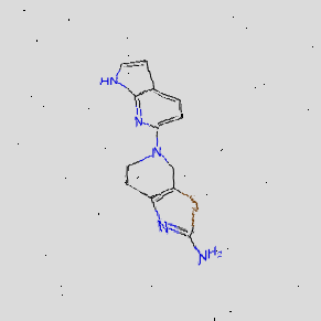 Nc1nc2c(s1)CN(c1ccc3cc[nH]c3n1)CC2